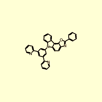 c1ccc(-c2nc3ccc4c(c5ccccc5n4-c4cc(-c5ccccn5)cc(-c5ccccn5)c4)c3o2)cc1